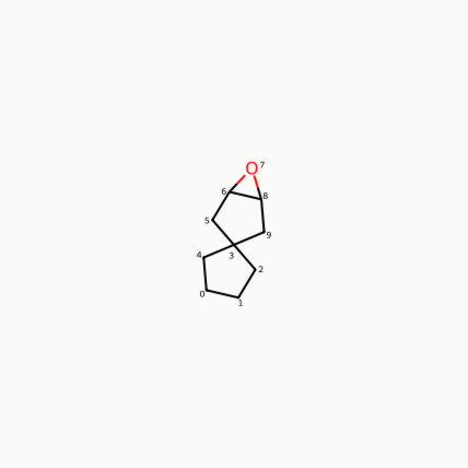 C1CCC2(C1)CC1OC1C2